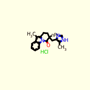 CCCC1(Cc2nc[nH]c2C)CCc2c(C)c3ccccc3n2C1=O.Cl